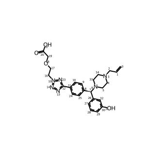 C=CCN1CCN([C@H](c2ccc(-c3nnn(CCOCC(=O)O)n3)cc2)c2cccc(O)c2)CC1